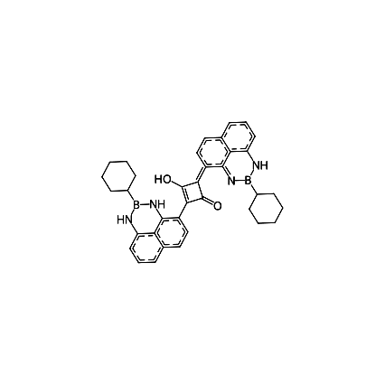 O=C1C(c2ccc3cccc4c3c2NB(C2CCCCC2)N4)=C(O)/C1=c1\ccc2cccc3c2c1=NB(C1CCCCC1)N3